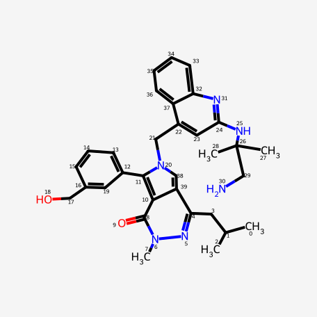 CC(C)Cc1nn(C)c(=O)c2c(-c3cccc(CO)c3)n(Cc3cc(NC(C)(C)CN)nc4ccccc34)cc12